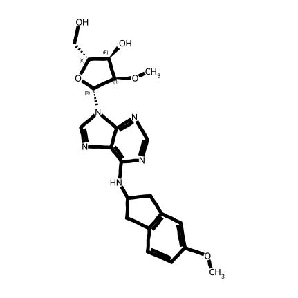 COc1ccc2c(c1)CC(Nc1ncnc3c1ncn3[C@@H]1O[C@H](CO)[C@@H](O)[C@H]1OC)C2